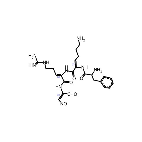 N=C(N)NCC/C=C(\NC(=O)/C(=C/CCCN)NC(=O)C(N)Cc1ccccc1)C(=O)N/C(C=O)=C/N=O